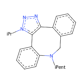 CCCC(C)N1Cc2ccccc2-c2nnn(C(C)C)c2-c2ccccc21